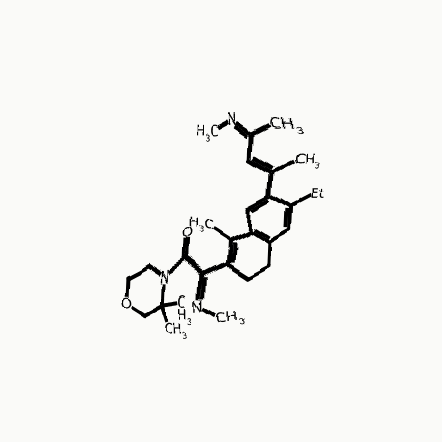 CCc1cc2c(cc1/C(C)=C/C(C)=N\C)C(C)=C(/C(=N\C)C(=O)N1CCOCC1(C)C)CC2